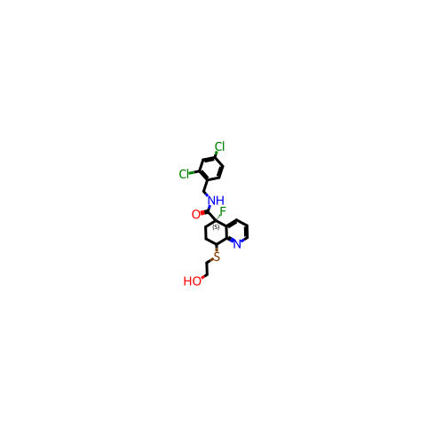 O=C(NCc1ccc(Cl)cc1Cl)[C@]1(F)CCC(SCCO)c2ncccc21